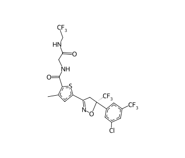 Cc1cc(C2=NO[C@@](c3cc(Cl)cc(C(F)(F)F)c3)(C(F)(F)F)C2)sc1C(=O)NCC(=O)NCC(F)(F)F